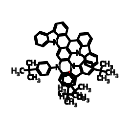 CC(C)(C)c1ccc(N(c2ccc(C(C)(C)C)cc2)c2cc3c4c(c2-n2c5ccc(C(C)(C)C)cc5c5cc(C(C)(C)C)ccc52)-n2c5ccccc5c5cccc(c52)C4c2cccc4c5ccccc5n-3c24)cc1